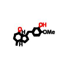 COc1ccc(CC2CC[C@@H]3C(C)CCC(=O)[C@H]23)cc1O